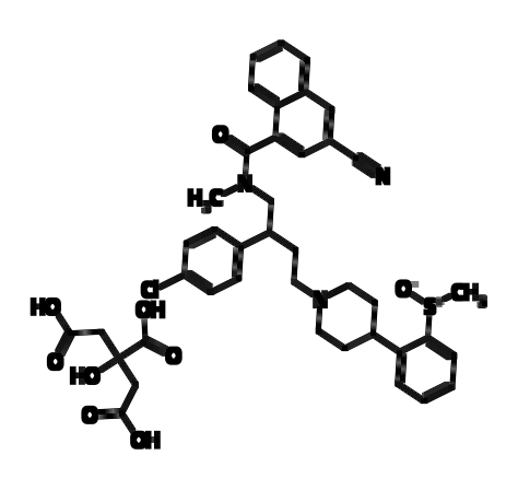 CN(CC(CCN1CCC(c2ccccc2[S+](C)[O-])CC1)c1ccc(Cl)cc1)C(=O)c1cc(C#N)cc2ccccc12.O=C(O)CC(O)(CC(=O)O)C(=O)O